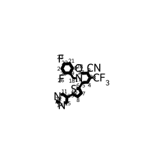 N#Cc1c(C(F)(F)F)cc(-c2ccc(-c3cncnc3)s2)n(Cc2ccc(F)cc2F)c1=O